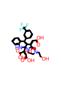 O=C(O)C=C(C(=O)O)C1=C(c2cccc(C(F)(F)F)c2)c2ccccc2NC1(C(=CC(=O)O)C(=O)O)N1CCN(CCO)CC1